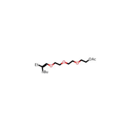 CCCC/C(=C\OCCOCCOCCOC(C)=O)CC